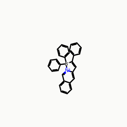 C1=C(c2ccccc2)[B-](c2ccccc2)(c2ccccc2)[n+]2cc3ccccc3cc21